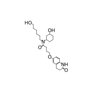 O=C1CCc2cc(OCCCC(=O)N(CCCCCCO)C3CCCC(O)C3)ccc2N1